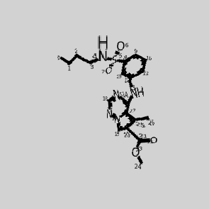 CCCCNS(=O)(=O)c1cccc(Nc2ncnn3cc(C(=O)OC)c(C)c23)c1